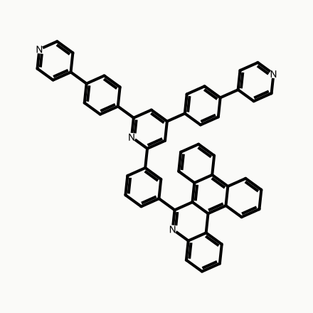 c1cc(-c2cc(-c3ccc(-c4ccncc4)cc3)cc(-c3ccc(-c4ccncc4)cc3)n2)cc(-c2nc3ccccc3c3c4ccccc4c4ccccc4c23)c1